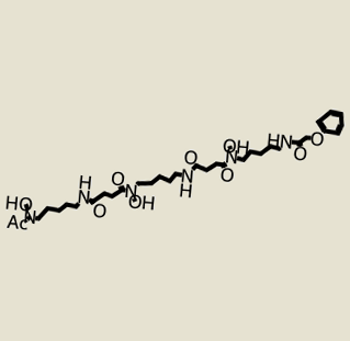 CC(=O)N(O)CCCCCNC(=O)CCC(=O)N(O)CCCCCNC(=O)CCC(=O)N(O)CCCCCNC(=O)COc1ccccc1